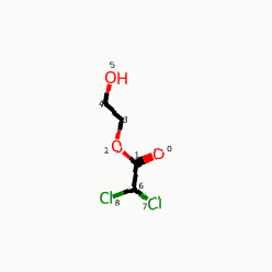 O=C(OCCO)C(Cl)Cl